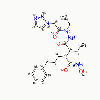 CC[C@H](C)CN(NC(=O)[C@H](CC(C)C)[C@H](CCCc1ccccc1)C(=O)NO)C(=O)Cn1ccnn1